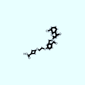 O=C(O)C1CC(OCCOc2ccc3c(c2)CN(c2cc(=O)c4cccc(Cl)c4o2)C3=O)C1